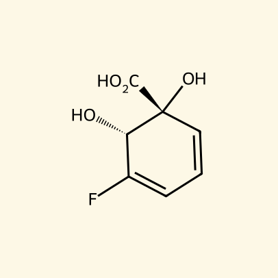 O=C(O)[C@@]1(O)C=CC=C(F)[C@@H]1O